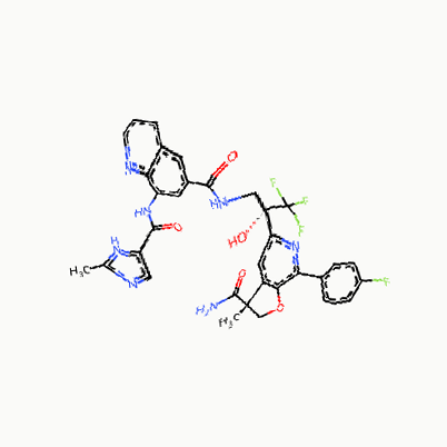 Cc1ncc(C(=O)Nc2cc(C(=O)NC[C@](O)(c3cc4c(c(-c5ccc(F)cc5)n3)OC[C@]4(C)C(N)=O)C(F)(F)F)cc3cccnc23)[nH]1